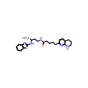 O=C(CCCCc1ccc2c(n1)NCCC2)NCCC(Nc1nc2ccccc2s1)C(=O)O